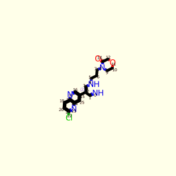 N=C/C(=C\NCCCN1CCOCC1=O)c1cnc2ccc(Cl)nc2c1